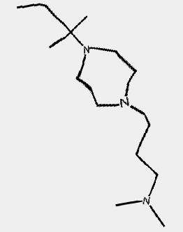 CCC(C)(C)N1CCN(CCCN(C)C)CC1